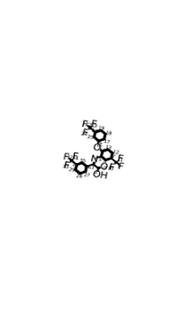 O=C(O)/C(=N\c1cc(C(F)(F)F)ccc1Oc1cccc(C(F)(F)F)c1)c1cccc(C(F)(F)F)c1